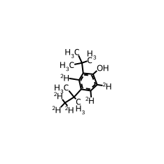 [2H]c1c([2H])c(C(C)(C)C([2H])([2H])[2H])c([2H])c(C(C)(C)C)c1O